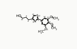 COc1cc(-c2nc(CCCO)cs2)cc(OC)c1OC